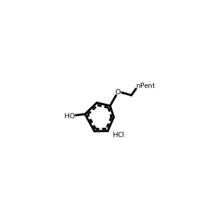 CCCCCCOc1cccc(O)c1.Cl